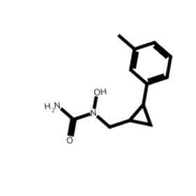 Cc1cccc(C2CC2CN(O)C(N)=O)c1